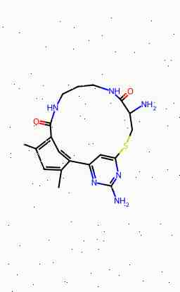 Cc1cc(C)c2cc1C(=O)NCCCNC(=O)C(N)CSc1cc-2nc(N)n1